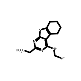 CC(C)CNc1nc(CC(=O)O)nc2sc3c(c12)CCCC3